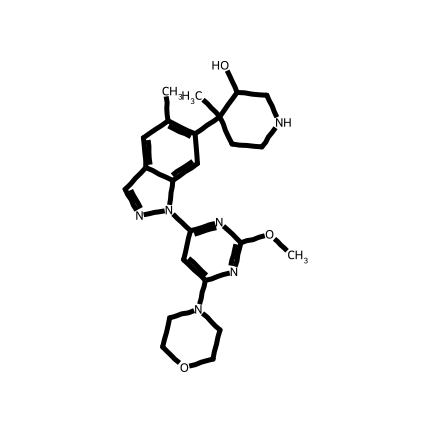 COc1nc(N2CCOCC2)cc(-n2ncc3cc(C)c(C4(C)CCNCC4O)cc32)n1